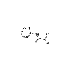 O=C(O)C(=O)Nc1ccccn1